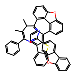 CC1=C(c2ccccc2)N=C(c2ccc3c(c2)oc2ccccc23)N=C(c2cccc3oc4cccc(-c5cccc6c5sc5ccccc56)c4c23)C1C